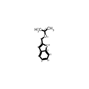 CC(C)OCc1cc2ccccc2s1